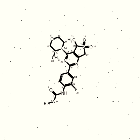 CCNC(=O)Nc1ccc(-c2nc3c(c(N4CCOC[C@@H]4C)n2)C(C)S(=O)(=O)C3)cc1F